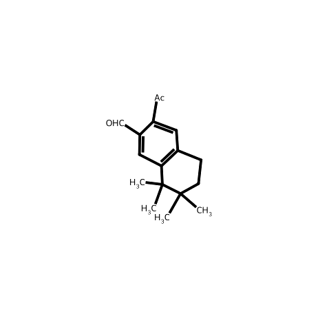 CC(=O)c1cc2c(cc1C=O)C(C)(C)C(C)(C)CC2